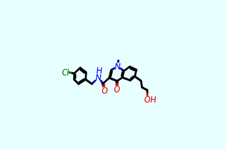 Cn1cc(C(=O)NCc2ccc(Cl)cc2)c(=O)c2cc(CCCO)ccc21